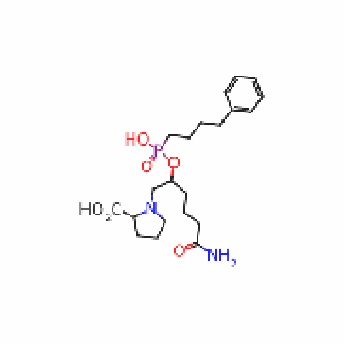 NC(=O)CCCC(CN1CCC[C@H]1C(=O)O)OP(=O)(O)CCCCc1ccccc1